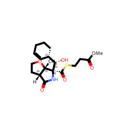 COC(=O)CCSC(=O)[C@]1([C@@H](O)[C@@H]2C=CCCC2)NC(=O)[C@@H]2CCO[C@@]21C